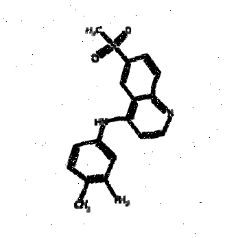 Cc1ccc(Nc2ccnc3ccc(S(C)(=O)=O)cc23)cc1P